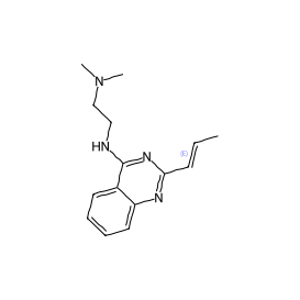 C/C=C/c1nc(NCCN(C)C)c2ccccc2n1